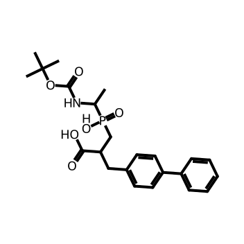 CC(NC(=O)OC(C)(C)C)P(=O)(O)CC(Cc1ccc(-c2ccccc2)cc1)C(=O)O